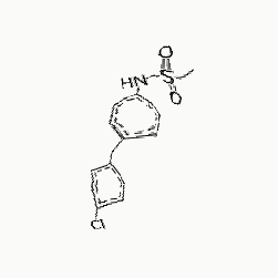 CS(=O)(=O)Nc1ccc(-c2ccc(Cl)cc2)cc1